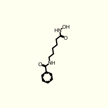 O=C(CCCCCNC(=O)c1ccccc1)NO